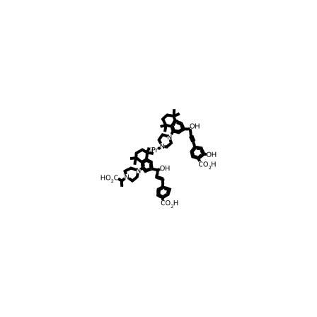 CC(C(=O)O)N1CCN(c2cc(C(O)/C=C/c3ccc(C(=O)O)cc3)cc3c2C(C)(C)CCC3(C)C)CC1.CC(C)N1CCN(c2cc(C(O)C#Cc3ccc(C(=O)O)c(O)c3)cc3c2C(C)(C)CCC3(C)C)CC1